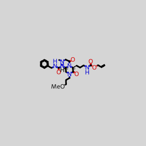 C=CCOC(=O)NCCC[C@H]1C(=O)N(CCCOC)C[C@H]2N1C(=O)CN(C)N2C(=O)NCc1ccccc1